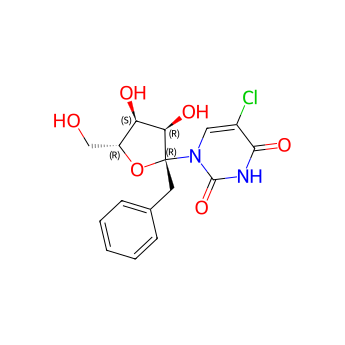 O=c1[nH]c(=O)n([C@]2(Cc3ccccc3)O[C@H](CO)[C@@H](O)[C@H]2O)cc1Cl